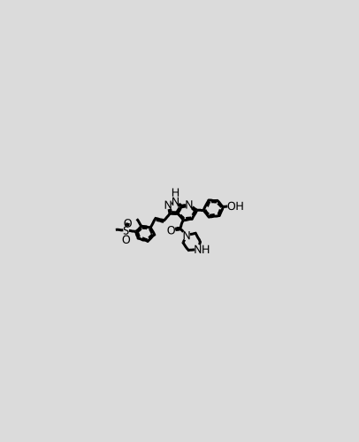 Cc1c(C=Cc2n[nH]c3nc(-c4ccc(O)cc4)cc(C(=O)N4CCNCC4)c23)cccc1S(C)(=O)=O